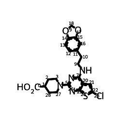 O=C(O)C1CCN(c2nc(NCCc3ccc4c(c3)OCO4)c3cc(Cl)sc3n2)CC1